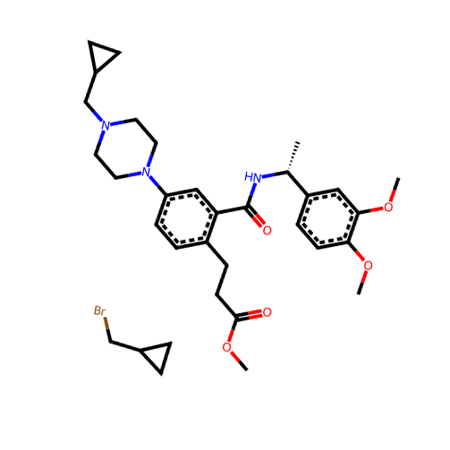 BrCC1CC1.COC(=O)CCc1ccc(N2CCN(CC3CC3)CC2)cc1C(=O)N[C@H](C)c1ccc(OC)c(OC)c1